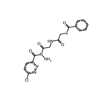 NN(C(=O)CNC(=O)CSC(=O)c1ccccc1)C(=O)c1ccc(Cl)nn1